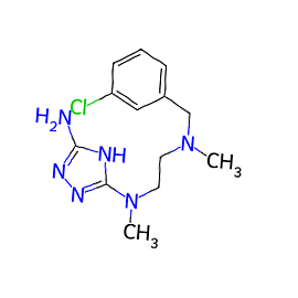 CN(CCN(C)c1nnc(N)[nH]1)Cc1cccc(Cl)c1